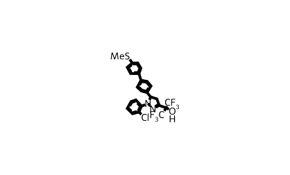 CSc1ccc(-c2ccc(C3CC(C(O)(C(F)(F)F)C(F)(F)F)=NN3c3ccccc3Cl)cc2)cc1